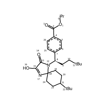 CC(C)OC(=O)c1ccc([C@@H](CCC(C)(C)C)N2C(=O)C(O)=NC23CCC(C(C)(C)C)CC3)cc1